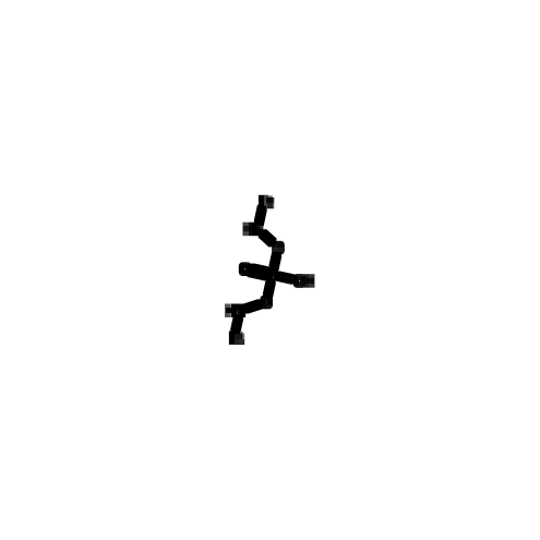 CCNOP(=O)(O)ONCC